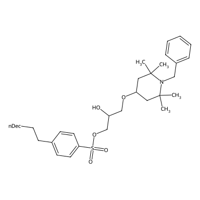 CCCCCCCCCCCCc1ccc(S(=O)(=O)OCC(O)COC2CC(C)(C)N(Cc3ccccc3)C(C)(C)C2)cc1